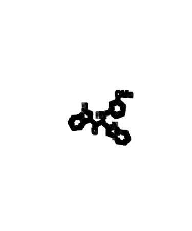 COc1cccc(NC(C(=O)c2c[nH]c3ccccc23)c2cn3ccccc3n2)c1